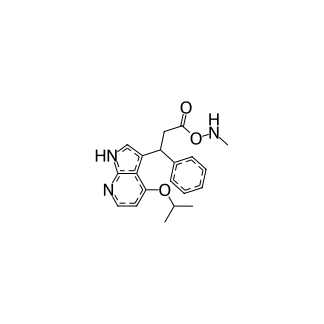 CNOC(=O)CC(c1ccccc1)c1c[nH]c2nccc(OC(C)C)c12